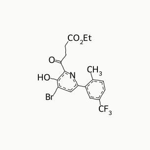 CCOC(=O)CCC(=O)c1nc(-c2cc(C(F)(F)F)ccc2C)cc(Br)c1O